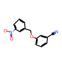 N#Cc1cccc(OCc2cccc([N+](=O)[O-])c2)c1